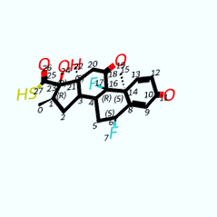 C[C@@H]1CC2C3C[C@H](F)C4=CC(=O)C=C[C@]4(C)[C@@]3(F)C(=O)C[C@]2(C)[C@@]1(O)C(=O)S